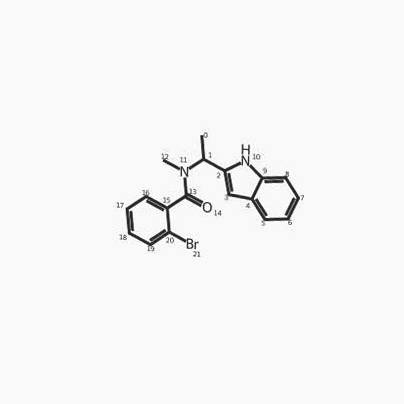 CC(c1cc2ccccc2[nH]1)N(C)C(=O)c1ccccc1Br